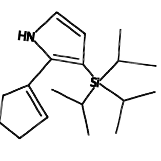 CC(C)[Si](c1cc[nH]c1C1=CCCC1)(C(C)C)C(C)C